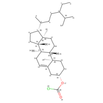 CCC(CCC(C)[C@H]1CC[C@H]2[C@@H]3CC=C4C[C@@H](OC(=O)Cl)CC[C@]4(C)[C@H]3CC[C@]12C)C(C)C